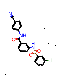 N#Cc1ccc(NC(=O)c2cccc(NS(=O)(=O)c3cccc(Cl)c3)c2)cc1